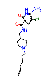 C=CCCCCN1CCC(CNC(=O)c2cc(Cl)c(N)[nH]c2=O)CC1